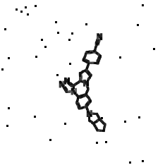 N#Cc1ccc(-c2cc3n(c2)Cc2cc(N4CC5CCCC5C4)ccc2-n2cnnc2-3)cc1